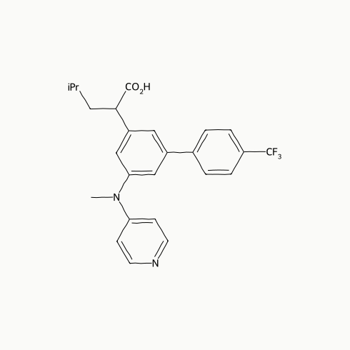 CC(C)CC(C(=O)O)c1cc(-c2ccc(C(F)(F)F)cc2)cc(N(C)c2ccncc2)c1